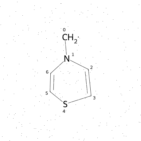 [CH2]N1C=CSC=C1